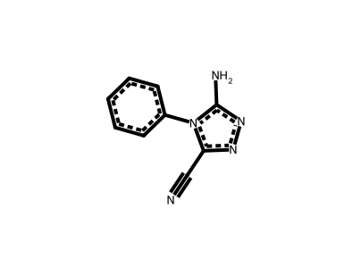 N#Cc1nnc(N)n1-c1ccccc1